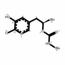 CC(C)(C)NC(=O)O[C@@H](Cc1cnc(Cl)c(O)c1)C(C)(C)C